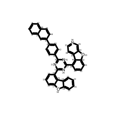 c1ccc2cc(-c3ccc(-c4nc(-c5cccc6oc7ccccc7c56)nc(-c5cccc6oc7cnccc7c56)n4)cc3)ccc2c1